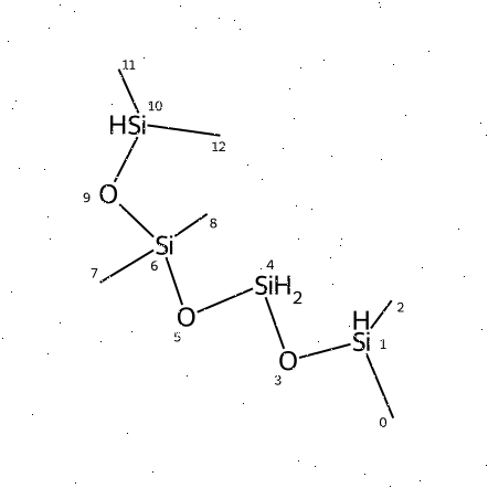 C[SiH](C)O[SiH2]O[Si](C)(C)O[SiH](C)C